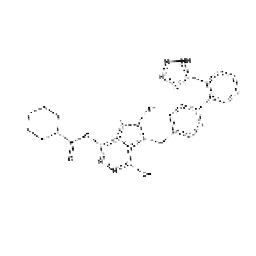 CC(C)c1nc2c(OC(=O)C3CCCCC3)nnc(O)c2n1Cc1ccc(-c2ccccc2-c2nnn[nH]2)cc1